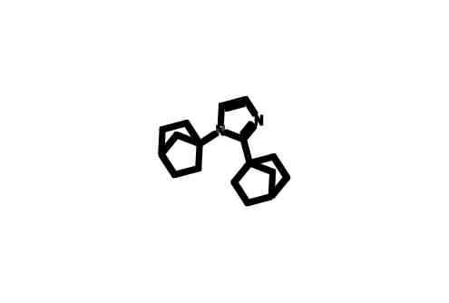 c1cn(C23CCC(CC2)C3)c(C23CCC(CC2)C3)n1